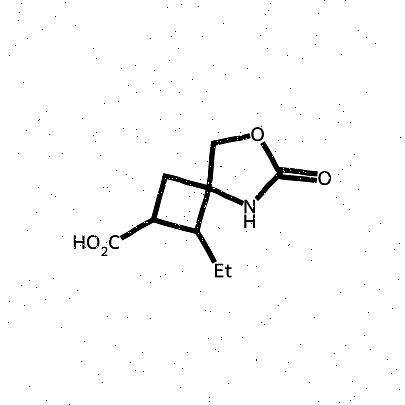 CCC1C(C(=O)O)CC12COC(=O)N2